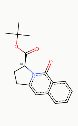 CC(C)(C)OC(=O)[C@@H]1CCc2cc3ccccc3c(=O)n21